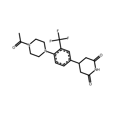 CC(=O)N1CCN(c2ccc(C3CC(=O)NC(=O)C3)cc2C(F)(F)F)CC1